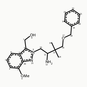 COc1cccc2c(CO)n(CC(N)C(C)(C)COCc3ccccc3)nc12